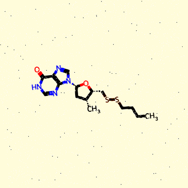 CCCCSSC[C@H]1O[C@@H](n2cnc3c(=O)[nH]cnc32)C[C@H]1C